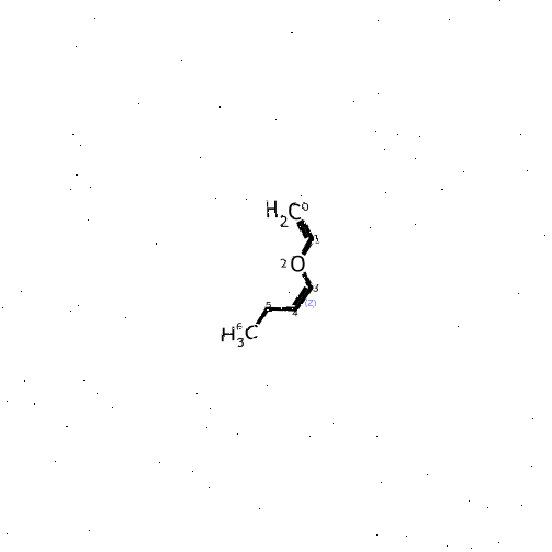 C=CO/C=C\CC